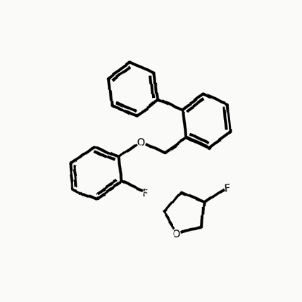 FC1CCOC1.Fc1ccccc1OCc1ccccc1-c1ccccc1